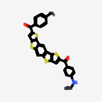 CCCCCCCCNc1ccc(C(=O)c2cc3sc4cc5sc6cc(C(=O)c7ccc(C)cc7)sc6c5cc4c3s2)cc1